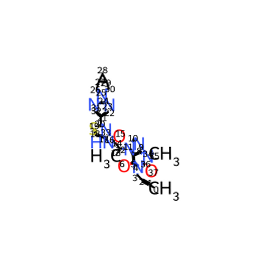 CC#CCn1c(=O)c2c(ncn2[C@@H](C)C(=O)Nc2csc(-c3cnc(N4CC5CC5C4)nc3)n2)n(C)c1=O